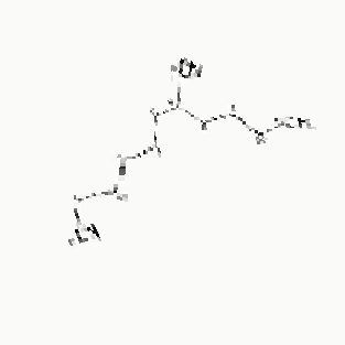 N#CCCCCCC(C#N)CCCC#N